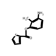 Cc1c(N)cccc1OC(=O)c1cccs1